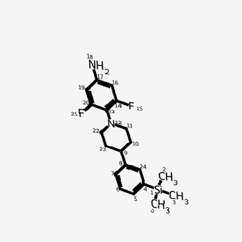 C[Si](C)(C)c1cccc(C2CCN(c3c(F)cc(N)cc3F)CC2)c1